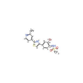 CCCc1cc(-c2nc(-c3ccc(NS(=O)(=O)C(F)(F)F)c(Br)c3)cs2)ccn1